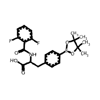 CC1(C)OB(c2ccc(CC(NC(=O)c3c(F)cccc3F)C(=O)O)cc2)OC1(C)C